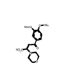 CCCCOc1ccc(C(=O)CC(C(=O)O)N2CCOCC2)cc1OC